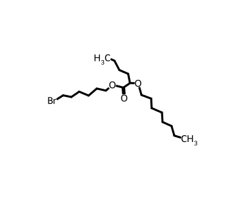 CCCCCCCCOC(CCCC)C(=O)OCCCCCCBr